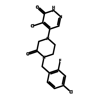 O=C1CN(c2cn[nH]c(=O)c2Cl)CCN1Cc1ccc(Cl)cc1F